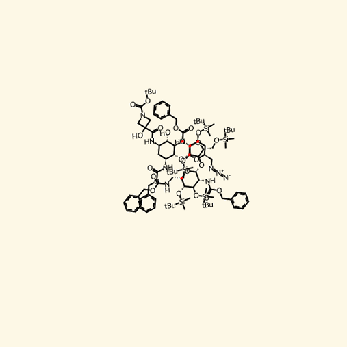 CC(C)(C)OC(=O)N1CC(O)(C(=O)N[C@@H]2C[C@H](NC(=O)OCc3ccccc3)[C@@H](O[C@H]3O[C@H](CN=[N+]=[N-])C[C@H](O[Si](C)(C)C(C)(C)C)[C@H]3NC(=O)OCc3ccccc3)[C@H](O[C@@H]3O[C@H](CO[Si](C)(C)C(C)(C)C)[C@@H](O[C@H]4O[C@@H](CNC(=O)OCc5ccccc5)[C@@H](O[Si](C)(C)C(C)(C)C)[C@H](O[Si](C)(C)C(C)(C)C)[C@H]4NC(=O)OCc4ccccc4)[C@H]3O[Si](C)(C)C(C)(C)C)[C@H]2O)C1